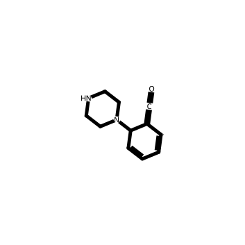 O=C=C1[C]=CC=CC1N1CCNCC1